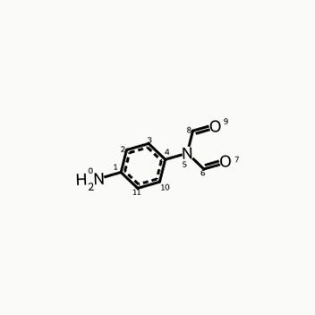 Nc1ccc(N(C=O)C=O)cc1